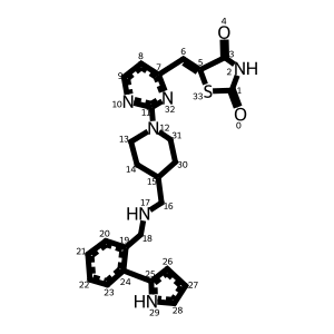 O=C1NC(=O)C(=Cc2ccnc(N3CCC(CNCc4ccccc4-c4ccc[nH]4)CC3)n2)S1